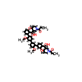 C=CC(=O)N1CC[C@@H]2Oc3cc(-c4cc(-c5ccc(-c6cccc7c6C(O)[C@@H]6CN(C(=O)C=C)CC[C@@H]6O7)c(OC)c5)ccc4OC)ccc3C(O)[C@@H]2C1